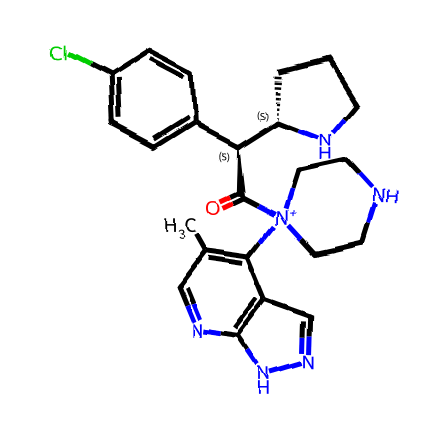 Cc1cnc2[nH]ncc2c1[N+]1(C(=O)[C@@H](c2ccc(Cl)cc2)[C@@H]2CCCN2)CCNCC1